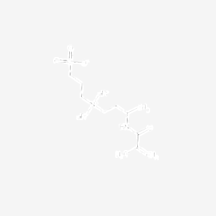 C=C(C)C(=O)NC(C)CC[N+](CCC)(CCC)CCCS(=O)(=O)[O-]